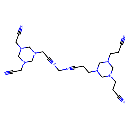 N#CCCN1CN(CCC#N)CN(CCC#[N+]C[N+]#CCN2CN(CC#N)CN(CC#N)C2)C1